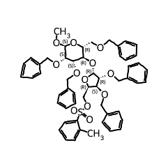 CO[C@H]1O[C@H](COCc2ccccc2)[C@@H](O[C@H]2O[C@H](COS(=O)(=O)c3ccccc3C)[C@H](OCc3ccccc3)[C@H]2OCc2ccccc2)[C@H](OCc2ccccc2)[C@@H]1OCc1ccccc1